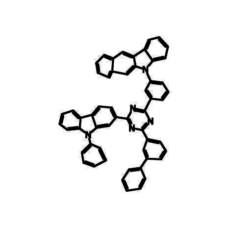 c1ccc(-c2cccc(-c3nc(-c4cccc(-n5c6ccccc6c6cc7ccccc7cc65)c4)nc(-c4ccc5c6ccccc6n(-c6ccccc6)c5c4)n3)c2)cc1